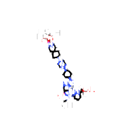 C=CCn1c(=O)c2cnc(Nc3ccc(N4CCN(C5CCC6(CC5)CCN(C(=O)OC(C)(C)C)CC6)CC4)cc3)nc2n1-c1cccc(C(C)(C)O)n1